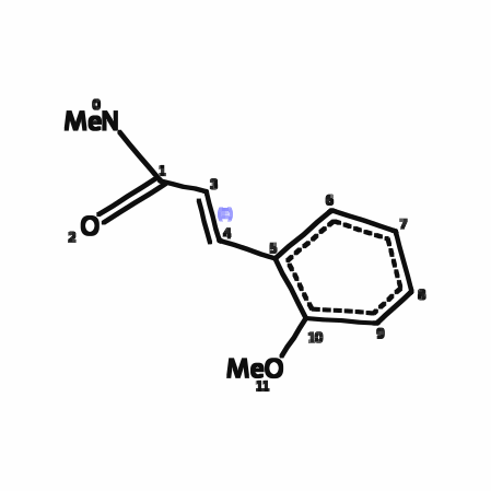 CNC(=O)/C=C/c1ccccc1OC